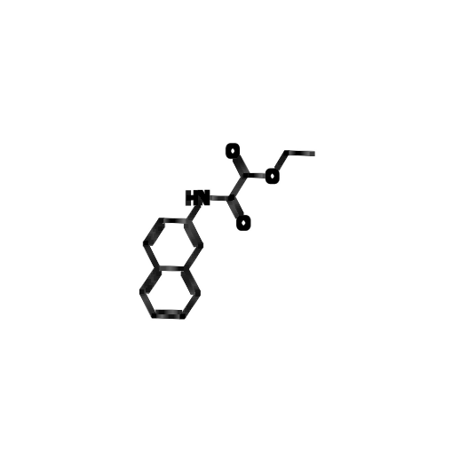 CCOC(=O)C(=O)Nc1ccc2ccccc2c1